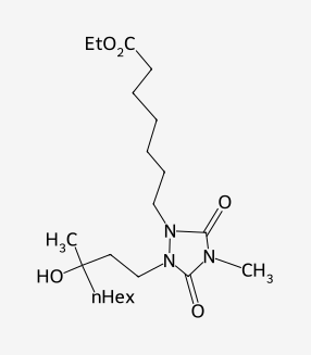 CCCCCCC(C)(O)CCn1c(=O)n(C)c(=O)n1CCCCCCC(=O)OCC